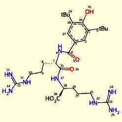 CC(C)(C)c1cc(C(=O)N[C@@H](CCCNC(=N)N)C(=O)N[C@@H](CCCNC(=N)N)C(=O)O)cc(C(C)(C)C)c1O